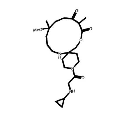 CO[C@]1(C)CCCNC2(CCN(C(=O)CNC3CC3)CC2)COC(=O)C(C)C(=O)CC1